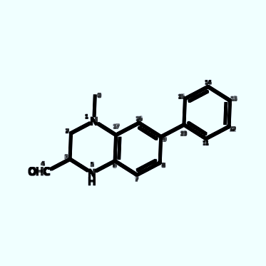 CN1CC(C=O)Nc2ccc(-c3ccccc3)cc21